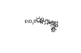 CCOC(=O)c1ccc2oc(C3CCN([C@@H]4CN[C@H](C(=O)N5CCSC5)C4)CC3)nc2c1